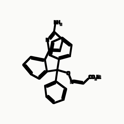 CCOC(=O)/C=N\OC(c1ccccc1)(c1ccccc1)c1ccccc1-c1csc(N)n1